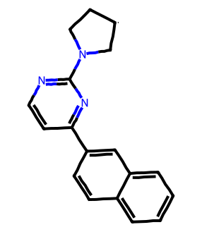 [CH]1CCN(c2nccc(-c3ccc4ccccc4c3)n2)C1